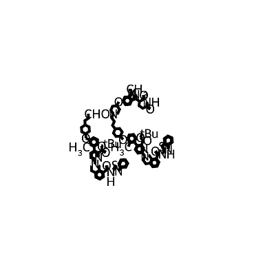 Cc1c(OC2CCC(CCC=O)CC2)cccc1-c1ccc(N2CCc3cccc(C(=O)Nc4nc5ccccc5s4)c3C2)nc1C(=O)OC(C)(C)C.Cc1c(OC2CCC(CCCN3CCC(Oc4ccc5c(C6CCC(=O)NC6=O)nn(C)c5c4)CC3)CC2)cccc1-c1ccc(N2CCc3cccc(C(=O)Nc4nc5ccccc5s4)c3C2)nc1C(=O)OC(C)(C)C